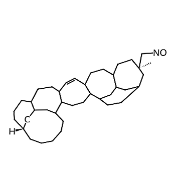 C[C@@]1(CN=O)CCC2CCC3/C=C\C4CCC5CCC[C@H]6CCCCCC(CC5C6)C4CCC3C3CCC(CC2C3)C1